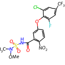 CON(C)S(=O)(=O)NC(=O)c1cc(Oc2c(F)cc(C(F)(F)F)cc2Cl)ccc1[N+](=O)[O-]